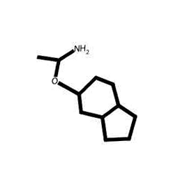 CC(N)OC1CCC2CCCC2C1